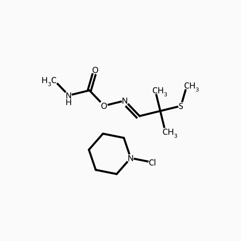 CNC(=O)O/N=C/C(C)(C)SC.ClN1CCCCC1